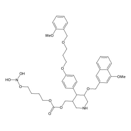 COc1ccccc1COCCCOc1ccc(C2C(COC(=O)OCCCCON(O)O)CNCC2OCc2cc(OC)c3ccccc3c2)cc1